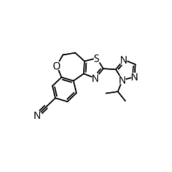 CC(C)n1ncnc1-c1nc2c(s1)CCOc1cc(C#N)ccc1-2